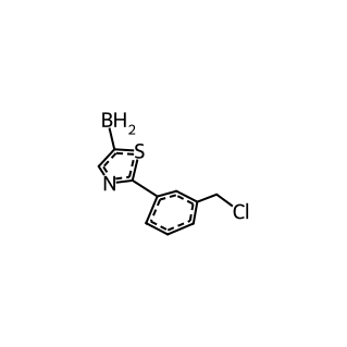 Bc1cnc(-c2cccc(CCl)c2)s1